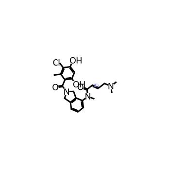 Cc1c(Cl)c(O)cc(O)c1C(=O)N1Cc2cccc(N(C)C(=O)/C=C/CN(C)C)c2C1